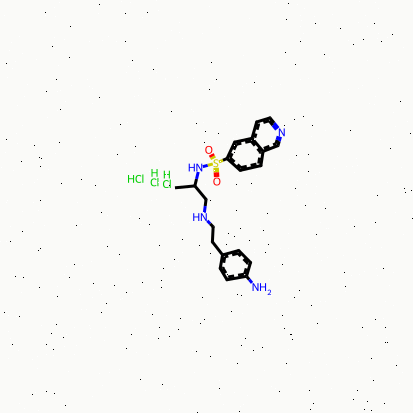 CC(CNCCc1ccc(N)cc1)NS(=O)(=O)c1ccc2cnccc2c1.Cl.Cl.Cl